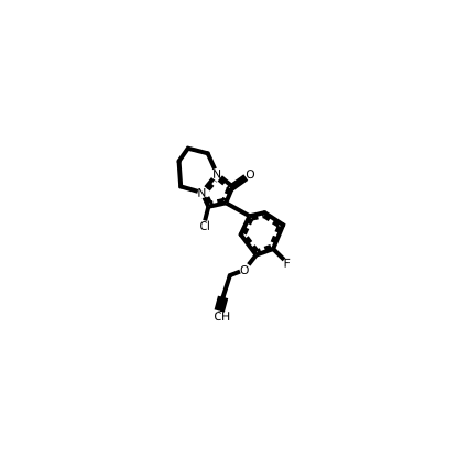 C#CCOc1cc(-c2c(Cl)n3n(c2=O)CCCC3)ccc1F